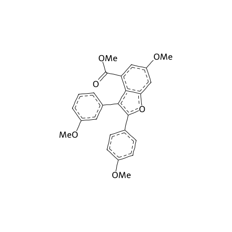 COC(=O)c1cc(OC)cc2oc(-c3ccc(OC)cc3)c(-c3cccc(OC)c3)c12